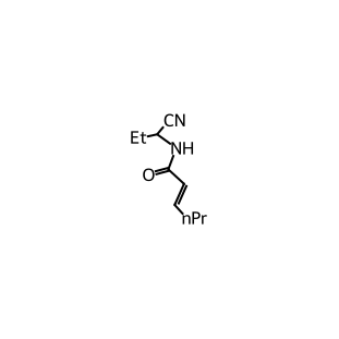 CCC/C=C/C(=O)NC(C#N)CC